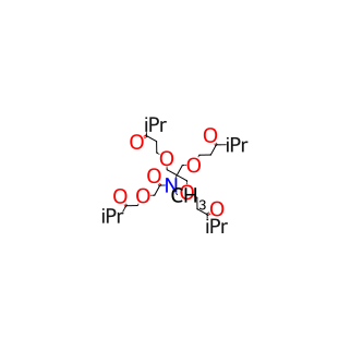 CC(C)C(=O)CCOCC(COCCC(=O)C(C)C)(COCCC(=O)C(C)C)N(C)C(=O)COCC(=O)C(C)C